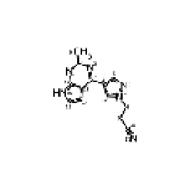 CC1N=C(c2cnn(CCC#N)c2)c2cc[nH]c2N1